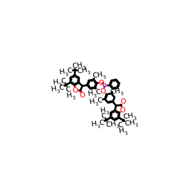 CC1=C(OP(Oc2c(C)cc(C3C(=O)Oc4c3cc(C(C)(C)C)cc4C(C)(C)C)cc2C)c2ccccc2)C(C)CC(C2C(=O)Oc3c2cc(C(C)(C)C)cc3C(C)(C)C)=C1